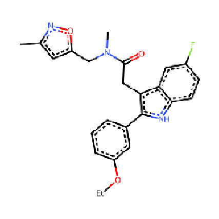 CCOc1cccc(-c2[nH]c3ccc(F)cc3c2CC(=O)N(C)Cc2cc(C)no2)c1